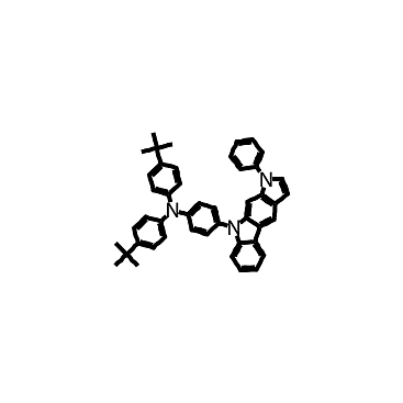 CC(C)(C)c1ccc(N(c2ccc(-n3c4ccccc4c4cc5ccn(-c6ccccc6)c5cc43)cc2)c2ccc(C(C)(C)C)cc2)cc1